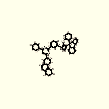 C1=CC2c3ccccc3C3(c4ccccc4Oc4c(-c5cccc(-c6nc(-c7ccccc7)cc(-c7ccc8c(ccc9ccccc98)c7)n6)c5)cccc43)C2CC1